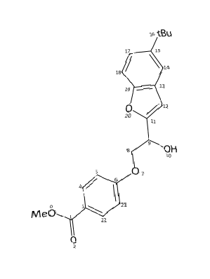 COC(=O)c1ccc(OCC(O)c2cc3cc(C(C)(C)C)ccc3o2)cc1